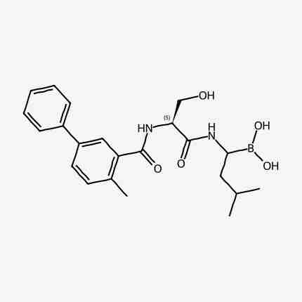 Cc1ccc(-c2ccccc2)cc1C(=O)N[C@@H](CO)C(=O)NC(CC(C)C)B(O)O